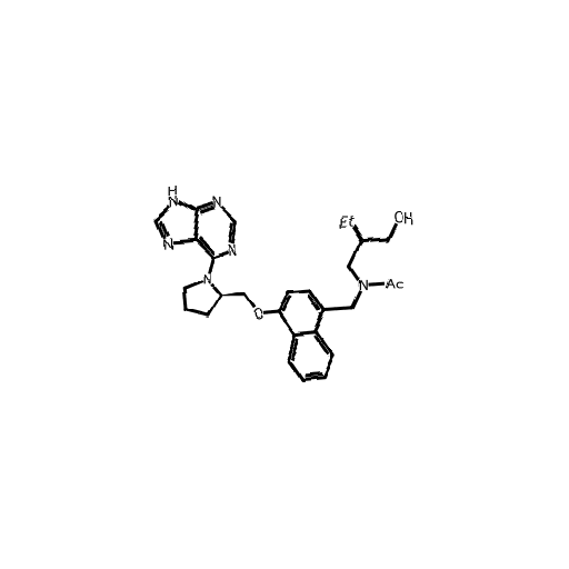 CCC(CO)CN(Cc1ccc(OC[C@H]2CCCN2c2ncnc3[nH]cnc23)c2ccccc12)C(C)=O